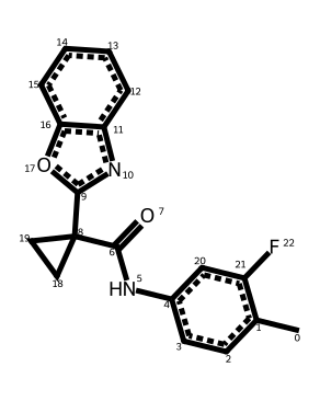 Cc1ccc(NC(=O)C2(c3nc4ccccc4o3)CC2)cc1F